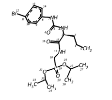 CCC[C@H](NC(=O)Nc1ccc(Br)cc1)C(=O)NCP(=O)(OC(C)C)OC(C)C